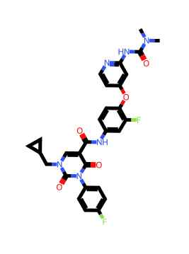 CN(C)C(=O)Nc1cc(Oc2ccc(NC(=O)c3cn(CC4CC4)c(=O)n(-c4ccc(F)cc4)c3=O)cc2F)ccn1